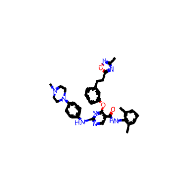 Cc1noc(CCc2cccc(Oc3nc(Nc4ccc(N5CCN(C)CC5)cc4)ncc3C(=O)Nc3c(C)cccc3C)c2)n1